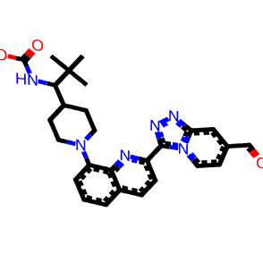 CC(C)(C)C(NC(=O)O)C1CCN(c2cccc3ccc(-c4nnc5cc(C=O)ccn45)nc23)CC1